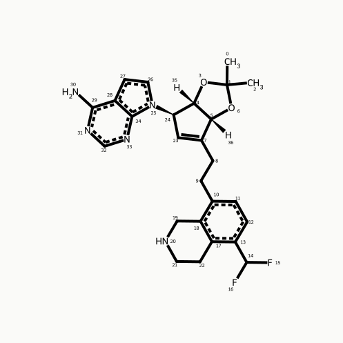 CC1(C)O[C@@H]2[C@H](O1)C(CCc1ccc(C(F)F)c3c1CNCC3)=C[C@H]2n1ccc2c(N)ncnc21